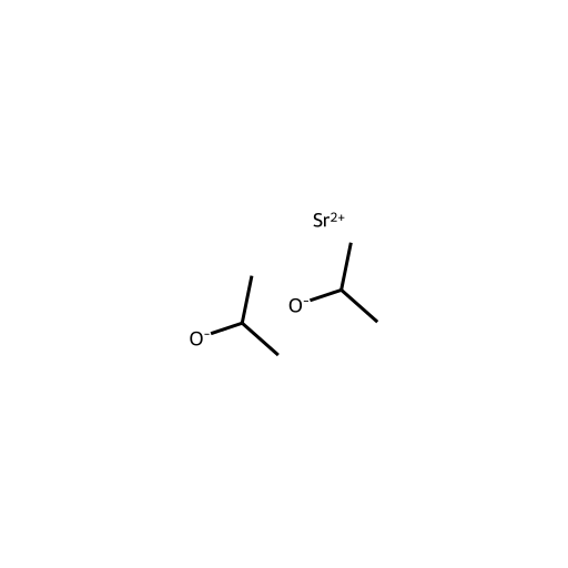 CC(C)[O-].CC(C)[O-].[Sr+2]